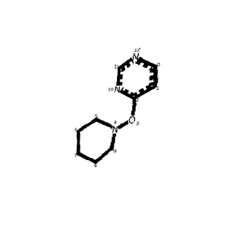 c1cc(ON2CCCCC2)ncn1